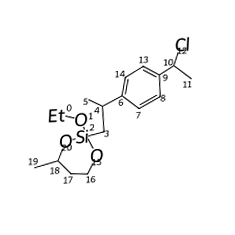 CCO[Si]1(CC(C)c2ccc(C(C)Cl)cc2)OCCC(C)O1